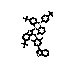 Cc1cc(-c2coc3ccccc23)cc(C)c1N1c2cccc3c2B(c2cc(C(C)(C)C)ccc2N3c2ccc(C(C)(C)C)cc2)c2sc3ccc(C(C)(C)C)cc3c21